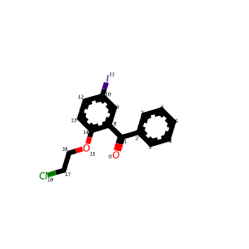 O=C(c1ccccc1)c1cc(I)ccc1OCCCl